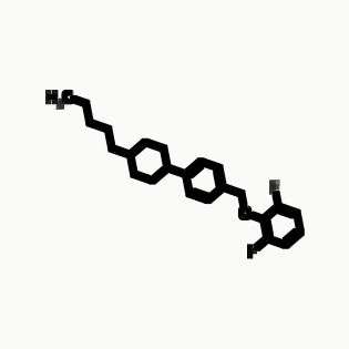 CCCCCC1CCC(c2ccc(COc3c(F)cccc3F)cc2)CC1